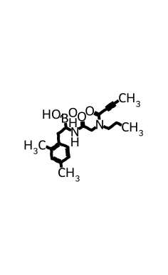 CC#CC(=O)N(CCC)CC(=O)NC(Cc1ccc(C)cc1C)B(O)O